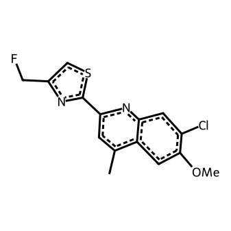 COc1cc2c(C)cc(-c3nc(CF)cs3)nc2cc1Cl